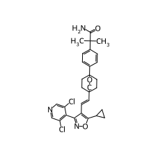 CC(C)(C(N)=O)c1ccc(C23CCC(C=Cc4c(-c5c(Cl)cncc5Cl)noc4C4CC4)(CC2)CO3)cc1